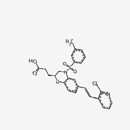 Cc1cccc(S(=O)(=O)N2C[C@H](CCC(=O)O)Oc3ccc(/C=C/c4cccnc4Cl)cc32)c1